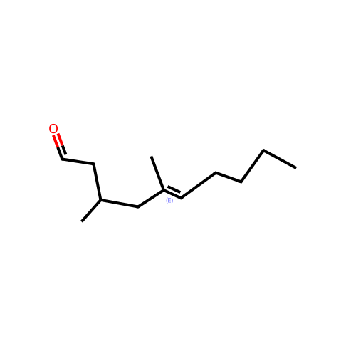 CCCC/C=C(\C)CC(C)CC=O